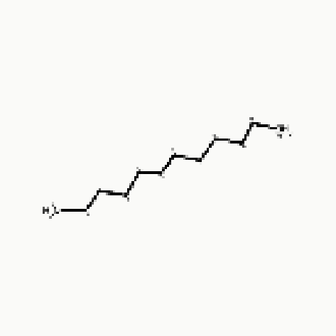 NCCCCCCCCCC[SiH3]